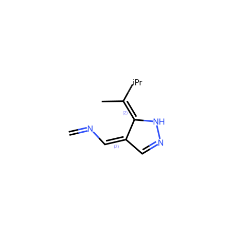 C=N/C=c1/cn[nH]/c1=C(/C)C(C)C